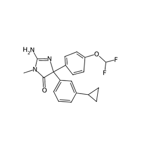 CN1C(=O)C(c2ccc(OC(F)F)cc2)(c2cccc(C3CC3)c2)N=C1N